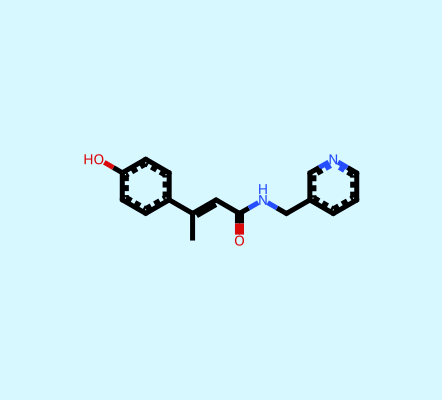 C/C(=C\C(=O)NCc1cccnc1)c1ccc(O)cc1